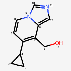 OCc1c(C2CC2)ccn2cncc12